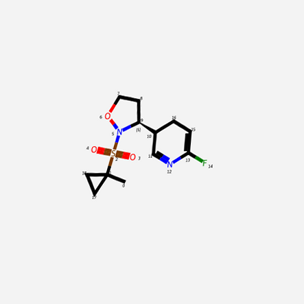 CC1(S(=O)(=O)N2OCC[C@H]2C2C=NC(F)=CC2)CC1